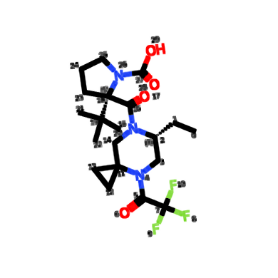 CC[C@@H]1CN(C(=O)C(F)(F)F)C2(CC2)CN1C(=O)[C@@]1(C(C)(C)C)CCCN1C(=O)O